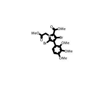 COC(=O)Cn1c(Br)c(-c2ccc(OC)c(OC)c2OC)c(Br)c1C(=O)OC